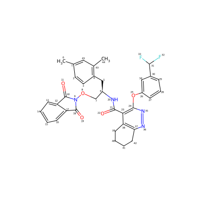 Cc1ccc(C[C@H](CON2C(=O)c3ccccc3C2=O)NC(=O)c2c(Oc3cccc(C(F)F)c3)nnc3c2CCCC3)c(C)c1